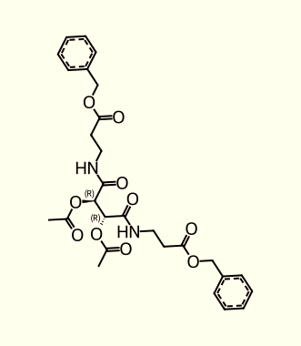 CC(=O)O[C@@H](C(=O)NCCC(=O)OCc1ccccc1)[C@@H](OC(C)=O)C(=O)NCCC(=O)OCc1ccccc1